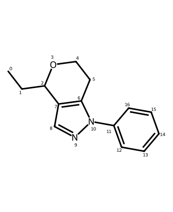 CCC1OCCc2c1cnn2-c1ccccc1